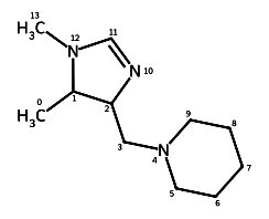 CC1C(CN2CCCCC2)N=CN1C